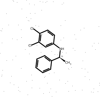 C[C@H](Nc1ccc(Cl)c(Cl)c1)c1ccccc1